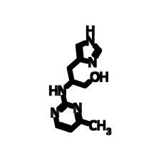 Cc1ccnc(NC(CO)Cc2c[nH]cn2)n1